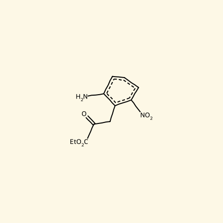 CCOC(=O)C(=O)Cc1c(N)cccc1[N+](=O)[O-]